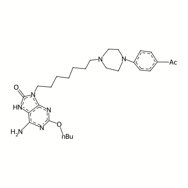 CCCCOc1nc(N)c2[nH]c(=O)n(CCCCCCCN3CCN(c4ccc(C(C)=O)cc4)CC3)c2n1